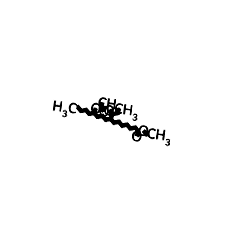 CCCCCC(CCCC(CCCCCCC(=O)OCC)C(=O)CC)OC(C)=O